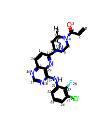 C=CC(=O)N1CC2CC[C@H]1CN2c1ccc2ncnc(Nc3cccc(Cl)c3F)c2n1